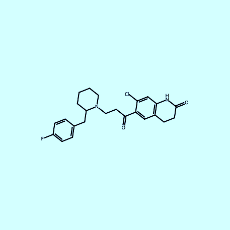 O=C1CCc2cc(C(=O)CCN3CCCCC3Cc3ccc(F)cc3)c(Cl)cc2N1